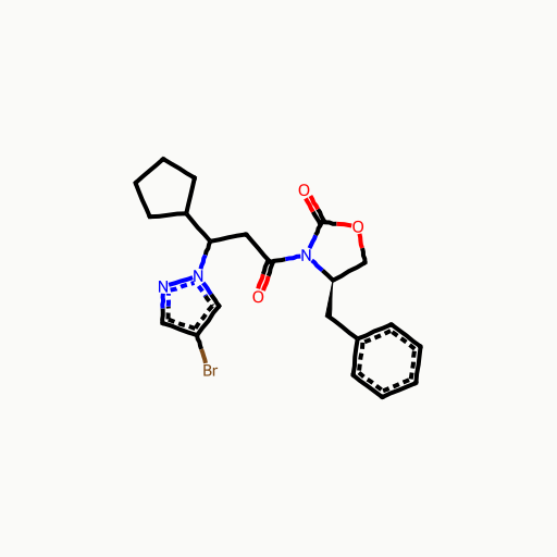 O=C(CC(C1CCCC1)n1cc(Br)cn1)N1C(=O)OC[C@H]1Cc1ccccc1